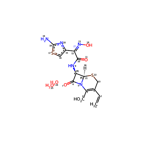 C=CC1=C(C(=O)O)N2C(=O)[C@@H](NC(=O)/C(=N\O)c3csc(N)n3)[C@H]2SC1.O.O